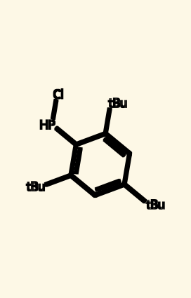 CC(C)(C)c1cc(C(C)(C)C)c(PCl)c(C(C)(C)C)c1